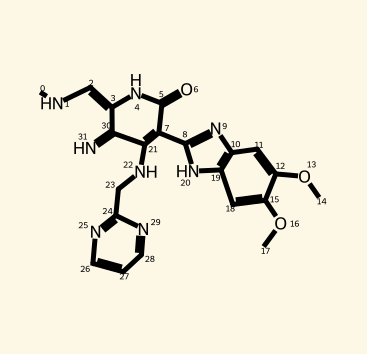 CN/C=C1/NC(=O)C(c2nc3cc(OC)c(OC)cc3[nH]2)=C(NCc2ncccn2)C1=N